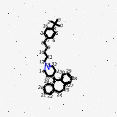 CC(C)(C)c1ccc(CCCCCN2CCC(=C3c4ccccc4CCc4ccccc43)CC2)cc1